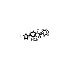 Cl.O=C(Nc1ccc(C2CCNC2)cc1)N1CCOCC1